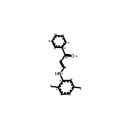 Cc1ccc(C)c(NC=CC(=O)c2ccccc2)c1